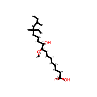 CCC(C)CC(C)(CC)CCCC(O)C(CCCCCCCC(=O)O)OC